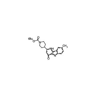 Cc1ccc2nn3c(=O)cc(C4CCN(C(=O)OC(C)(C)C)CC4)[nH]c3c2c1